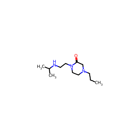 CCCN1CCN(CCNC(C)C)C(=O)C1